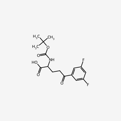 CC(C)(C)OC(=O)NC(CCC(=O)c1cc(F)cc(F)c1)C(=O)O